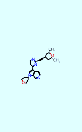 C[C@@H]1CC(C#Cc2nccc(-c3cn(C4CCOCC4)c4cnccc34)n2)C[C@H](C)O1